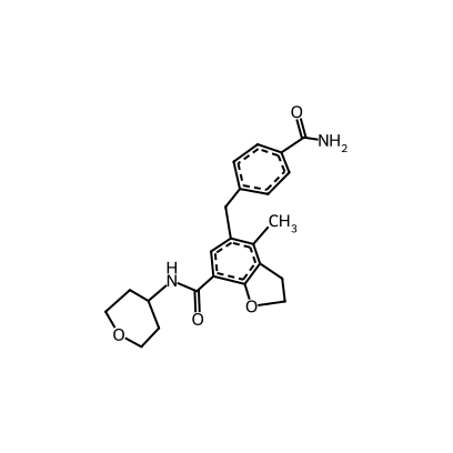 Cc1c(Cc2ccc(C(N)=O)cc2)cc(C(=O)NC2CCOCC2)c2c1CCO2